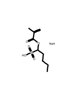 C=C(C)C(=O)OC(CCCC)S(=O)(=O)O.[NaH]